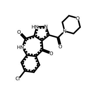 O=C(c1n[nH]c2c(=O)[nH]c3cc(Cl)ccc3c(=O)c12)N1CCOCC1